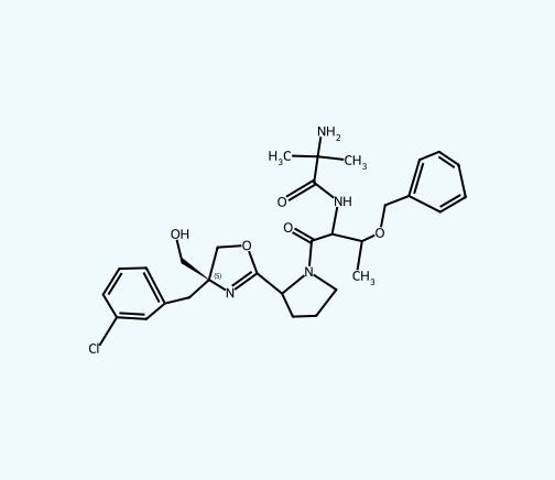 CC(OCc1ccccc1)C(NC(=O)C(C)(C)N)C(=O)N1CCCC1C1=N[C@](CO)(Cc2cccc(Cl)c2)CO1